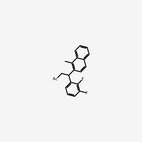 CC(=O)CC(c1cccc(F)c1F)c1ccc2ccccc2c1C